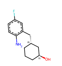 Nc1ccc(F)cc1C[C@H]1CCC[C@H](O)C1